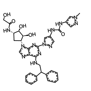 Cn1cc(NC(=O)Nc2cnn(-c3nc(NCC(c4ccccc4)c4ccccc4)c4ncn([C@@H]5C[C@H](NC(=O)CO)[C@@H](O)[C@H]5O)c4n3)c2)cn1